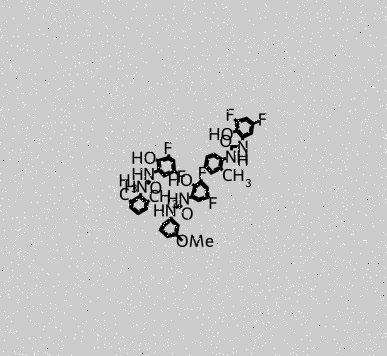 COc1cccc(NC(=O)Nc2cc(F)cc(F)c2O)c1.Cc1cccc(C)c1NC(=O)Nc1cc(F)cc(F)c1O.Cc1ccccc1NC(=O)Nc1cc(F)cc(F)c1O